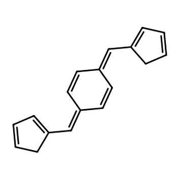 C1=CCC(C=c2ccc(=CC3=CC=CC3)cc2)=C1